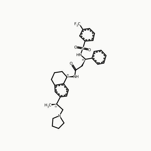 C[C@H](CN1CCCC1)c1ccc2c(c1)CCC[C@H]2NC(=O)C[C@@H](NS(=O)(=O)c1cccc(C(F)(F)F)c1)c1ccccc1